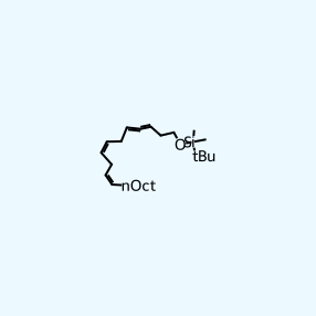 CCCCCCCC/C=C\C/C=C\CC=C=CCCO[Si](C)(C)C(C)(C)C